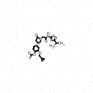 CC(C)c1nsc(NC(=O)CN2C[C@H](c3ccc(OC(F)F)c(OCC4CC4)c3)CC2=O)n1